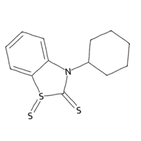 S=C1N(C2CCCCC2)c2ccccc2S1=S